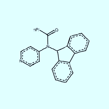 CCCC(=O)N(c1ccncc1)C1c2ccccc2-c2ccccc21